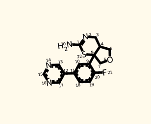 NC1=NCC2COCC2(c2cc(-c3cncnc3)ccc2F)S1